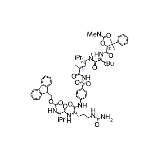 CNC(=O)O[C@H](C(=O)N[C@H](C(=O)N(C)[C@H](/C=C(\C)C(=O)NS(=O)(=O)c1ccc(NC(=O)[C@H](CCCNC(N)=O)NC(=O)[C@@H](NC(=O)OCC2c3ccccc3-c3ccccc32)C(C)C)cc1)C(C)C)C(C)(C)C)C(C)(C)c1ccccc1